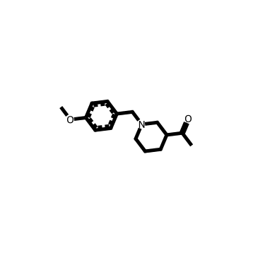 COc1ccc(CN2CCCC(C(C)=O)C2)cc1